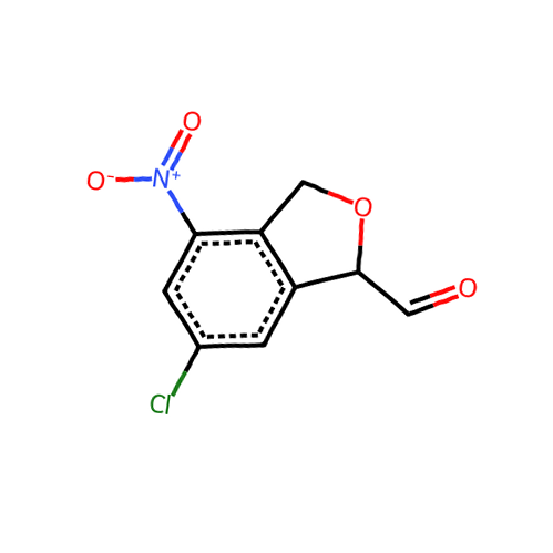 O=CC1OCc2c1cc(Cl)cc2[N+](=O)[O-]